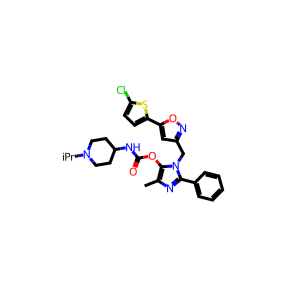 Cc1nc(-c2ccccc2)n(Cc2cc(-c3ccc(Cl)s3)on2)c1OC(=O)NC1CCN(C(C)C)CC1